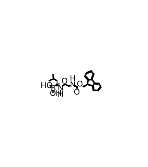 CC(C)C[C@H](NC(=O)CNC(=O)OCC1c2ccccc2-c2ccccc21)B(O)O